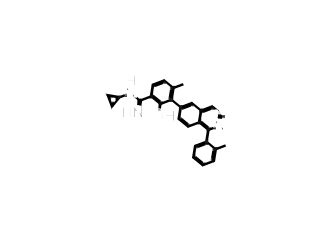 Cc1ccccc1-c1nncc2cc(-c3c(C)ccc(C(=N)NC4CC4)c3O)ccc12